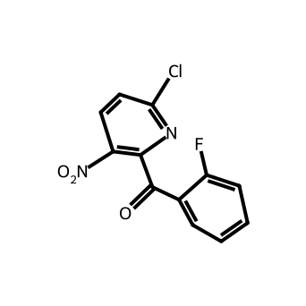 O=C(c1ccccc1F)c1nc(Cl)ccc1[N+](=O)[O-]